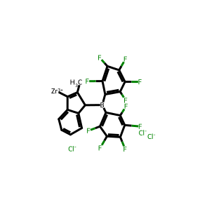 CC1=[C]([Zr+3])c2ccccc2C1B(c1c(F)c(F)c(F)c(F)c1F)c1c(F)c(F)c(F)c(F)c1F.[Cl-].[Cl-].[Cl-]